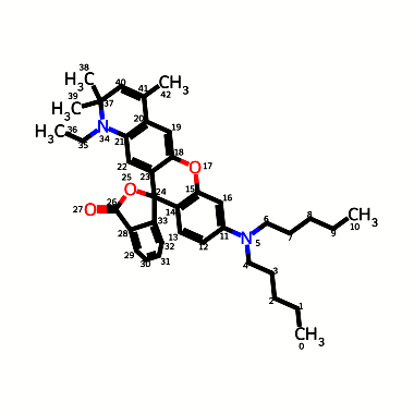 CCCCCN(CCCCC)c1ccc2c(c1)Oc1cc3c(cc1C21OC(=O)c2ccccc21)N(CC)C(C)(C)C=C3C